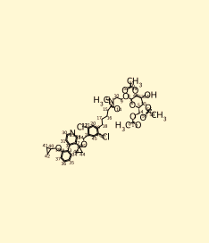 CC(=O)OC[C@H]1O[C@@H](OCCN(C)C(=O)CCCCc2cc(Cl)c(COC3(c4cnccc4-c4ccccc4OC4CC4)CC3)cc2Cl)[C@H](OC(C)=O)[C@@H](O)[C@@H]1OC(C)=O